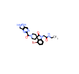 O=C(CN1C(=O)C2(CCN(C(=O)c3ncc4c(n3)CNN4)CC2)c2c(Br)cccc21)NCC(F)(F)F